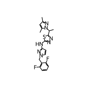 Cc1cc(C)n(C(C)c2nnc(Nc3ccn(Cc4c(F)cccc4F)n3)s2)n1